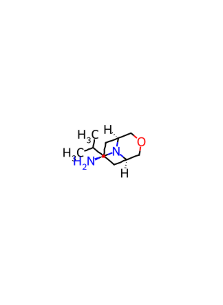 CC(C)CN1[C@@H]2COC[C@H]1C[C@@H](N)C2